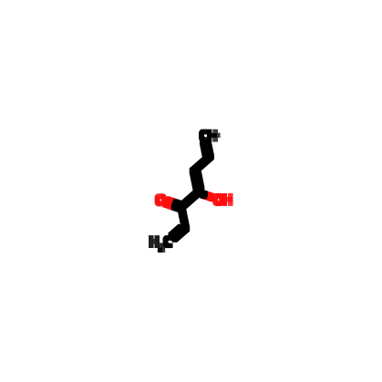 [CH]=CC=C(O)C(=O)C=C